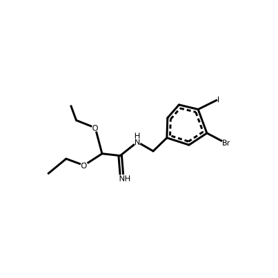 CCOC(OCC)C(=N)NCc1ccc(I)c(Br)c1